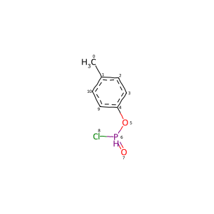 Cc1ccc(O[PH](=O)Cl)cc1